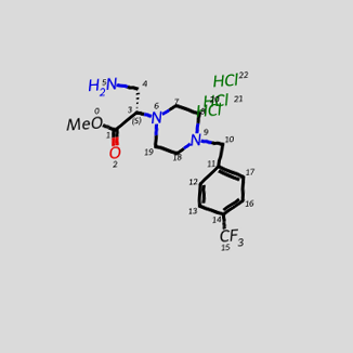 COC(=O)[C@H](CN)N1CCN(Cc2ccc(C(F)(F)F)cc2)CC1.Cl.Cl.Cl